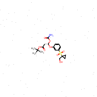 CC(C)(C)OC(=O)C[C@H](OC(N)=O)Oc1cccc(S(=O)(=O)C2(CO)CC2)c1